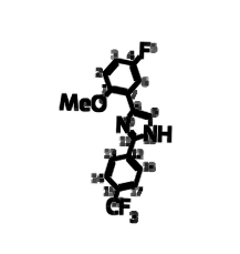 COc1ccc(F)cc1-c1c[nH]c(-c2ccc(C(F)(F)F)cc2)n1